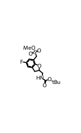 COS(=O)(=O)Cc1cc(F)cc2c1OC(CNC(=O)OC(C)(C)C)C2